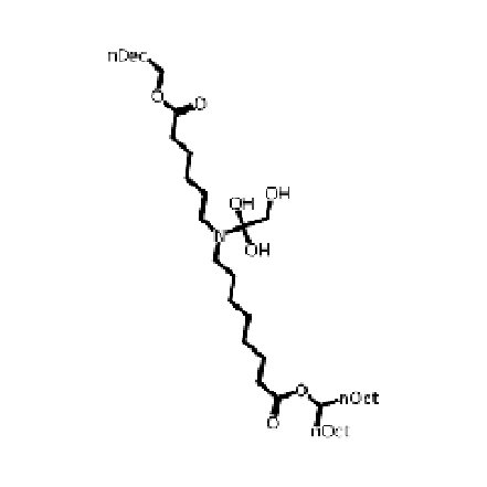 CCCCCCCCCCCOC(=O)CCCCCN(CCCCCCCC(=O)OC(CCCCCCCC)CCCCCCCC)C(O)(O)CO